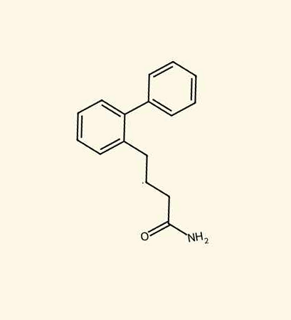 NC(=O)C[CH]Cc1ccccc1-c1ccccc1